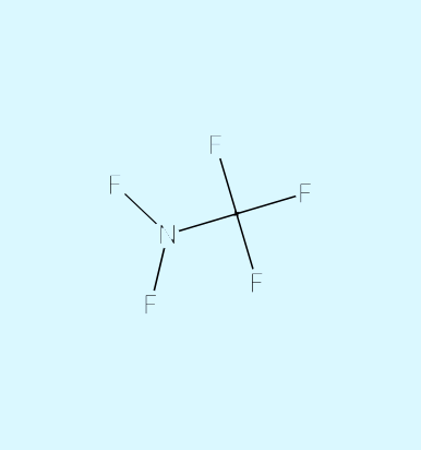 FN(F)C(F)(F)F